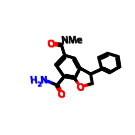 CNC(=O)c1cc(C(N)=O)c2c(c1)C(c1ccccc1)CO2